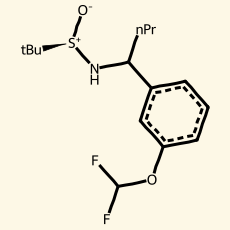 CCCC(N[S@+]([O-])C(C)(C)C)c1cccc(OC(F)F)c1